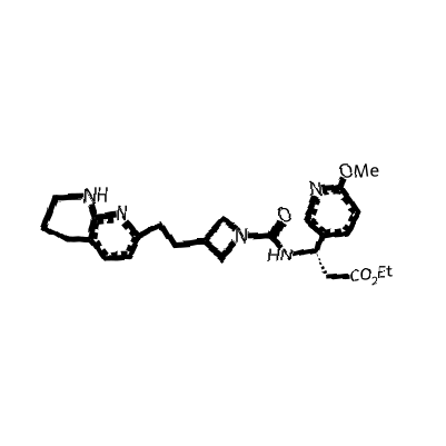 CCOC(=O)C[C@H](NC(=O)N1CC(CCc2ccc3c(n2)NCCC3)C1)c1ccc(OC)nc1